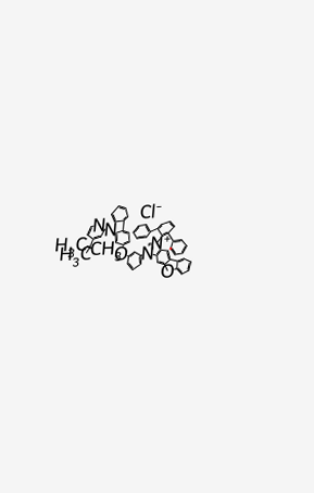 CC(C)(C)c1ccnc(-n2c3ccccc3c3ccc(Oc4cccc(-n5c[n+](-c6c(-c7ccccc7)cccc6-c6ccccc6)c6cc7c(cc65)oc5ccccc57)c4)cc32)c1.[Cl-]